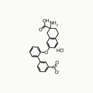 Cl.NC1(C(=O)O)CCc2ccc(Oc3ccccc3-c3cccc([N+](=O)[O-])c3)cc2C1